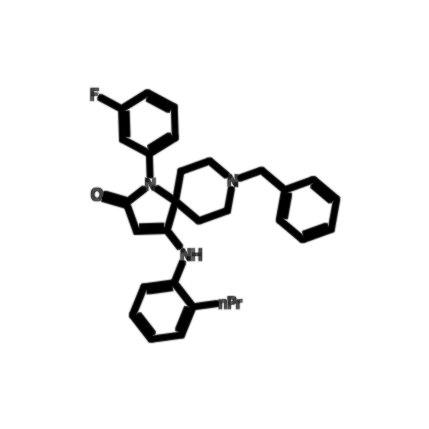 CCCc1ccccc1NC1=CC(=O)N(c2cccc(F)c2)C12CCN(Cc1ccccc1)CC2